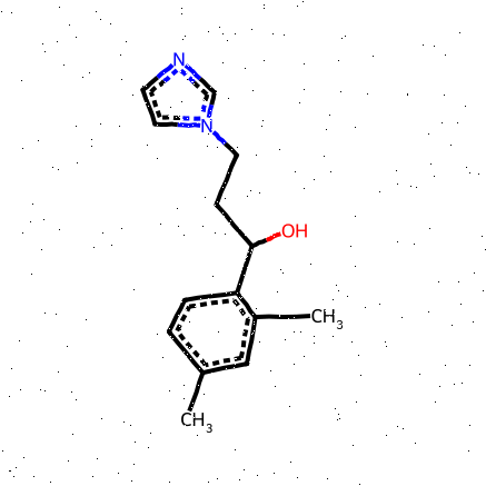 Cc1ccc(C(O)CCn2ccnc2)c(C)c1